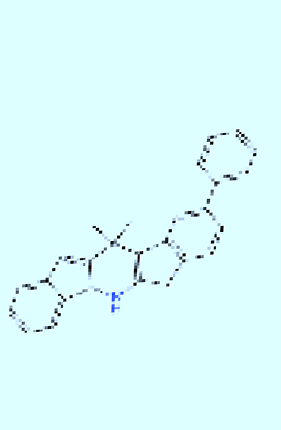 CC1(C)C2=Cc3ccccc3C2NC2=C1c1cc(-c3ccccc3)ccc1C2